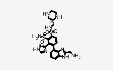 NCc1nc2c(-c3ccc(S(=O)(=O)NC[C@@H]4CNCCN4)c(S(N)(=O)=O)c3-c3nc[nH]n3)cccc2[nH]1